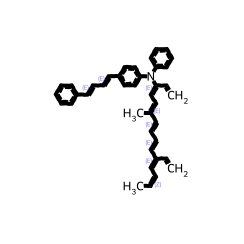 C=CC(/C=C/C=C/C(C)=C/C=C(\C=C)N(c1ccccc1)c1ccc(/C=C/C=C/c2ccccc2)cc1)=C\C=C/C